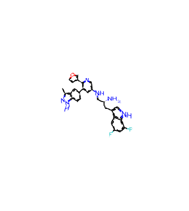 Cc1n[nH]c2ccc(-c3cc(NC[C@H](N)Cc4c[nH]c5c(F)cc(F)cc45)cnc3-c3ccoc3)cc12